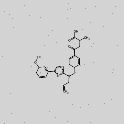 C=CCN(CC1C=CC(C(=O)CC(C)C(=O)O)=CC1)c1nc(C2=CC(OC)CC=C2)cs1